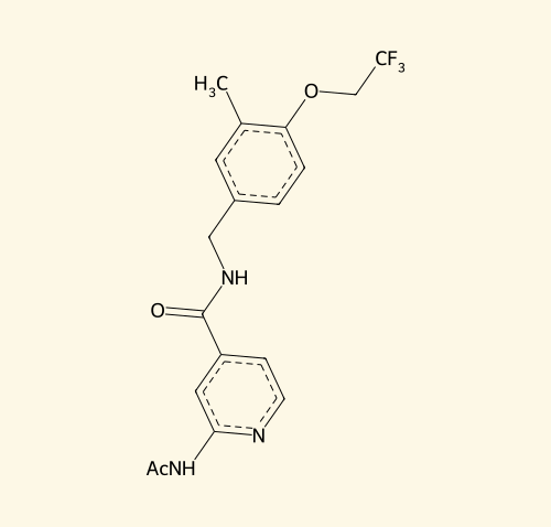 CC(=O)Nc1cc(C(=O)NCc2ccc(OCC(F)(F)F)c(C)c2)ccn1